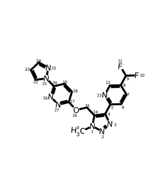 Cn1nnc(-c2ccc(C(F)F)cn2)c1COc1ccc(-n2cccn2)nn1